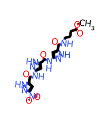 COC(=O)CCCNC(=O)c1cc(NC(=O)c2cc(NC(=O)c3cc([N+](=O)[O-])n[nH]3)n[nH]2)n[nH]1